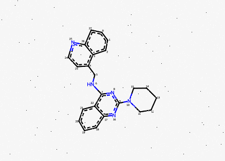 c1ccc2c(CNc3nc(N4CCCCC4)nc4ccccc34)ccnc2c1